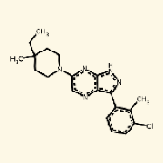 CCC1(C)CCN(c2cnc3c(-c4cccc(Cl)c4C)n[nH]c3n2)CC1